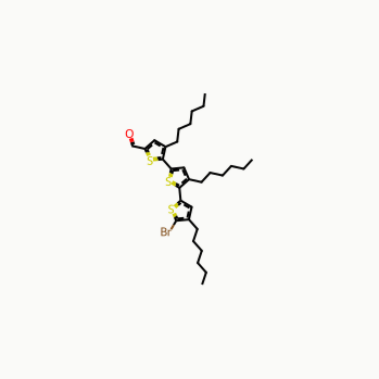 CCCCCCc1cc(-c2sc(-c3sc(C=O)cc3CCCCCC)cc2CCCCCC)sc1Br